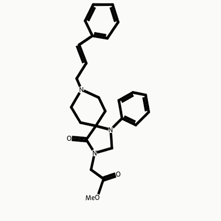 COC(=O)CN1CN(c2ccccc2)C2(CCN(C/C=C/c3ccccc3)CC2)C1=O